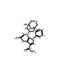 CN1[C@@H]2COC[C@H]1C[C@@H](N1C=C(F)Cc3c(C(N)=O)cn(-c4cccnc4)c31)C2